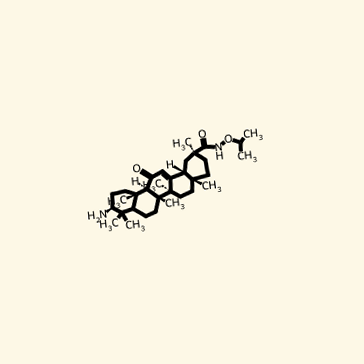 CC(C)ONC(=O)[C@@]1(C)CC[C@]2(C)CC[C@]3(C)C(=CC(=O)[C@@H]4[C@@]5(C)CC[C@H](N)C(C)(C)C5CC[C@]43C)[C@@H]2C1